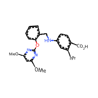 CCCc1cc(NCc2ccccc2Oc2nc(OC)cc(OC)n2)ccc1C(=O)O